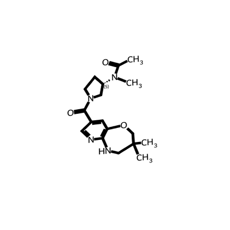 CC(=O)N(C)[C@H]1CCN(C(=O)c2cnc3c(c2)OCC(C)(C)CN3)C1